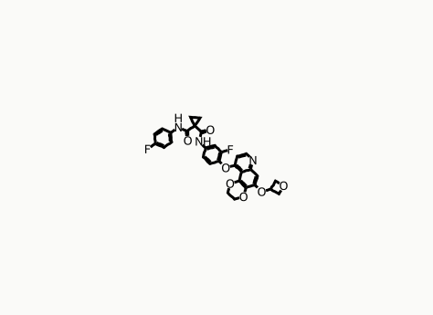 O=C(Nc1ccc(F)cc1)C1(C(=O)Nc2ccc(Oc3ccnc4cc(OC5COC5)c5c(c34)OCCO5)c(F)c2)CC1